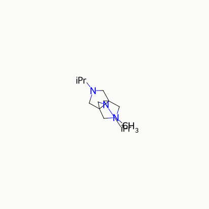 CC(C)N1CC23CN(C)CC2(C1)CN(C(C)C)C3